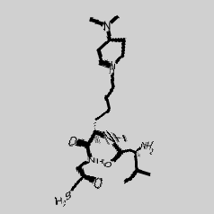 BC(=O)CNC(=O)[C@H](CCCCN1CCC(N(C)C)CC1)NC(=O)[C@@H](N)C(C)C